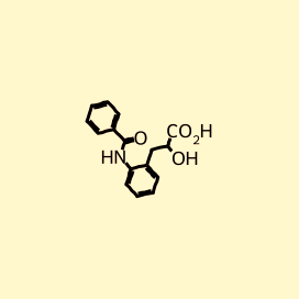 O=C(Nc1ccccc1CC(O)C(=O)O)c1ccccc1